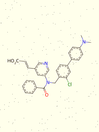 CN(C)c1ccc(-c2ccc(CN(C(=O)c3ccccc3)c3cncc(C=CC(=O)O)c3)c(Cl)c2)cc1